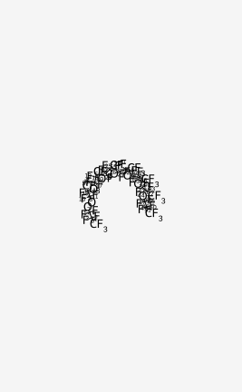 FC(F)(F)C(F)(F)C(F)(F)OOC(F)(F)C(F)(OC(F)(F)C(F)(OC(F)(F)C(F)(OC(F)(F)C(F)(OC(F)(F)C(F)(OC(F)(F)C(F)(OC(F)(F)C(F)(F)C(F)(F)F)C(F)(F)F)C(F)(F)F)C(F)(F)F)C(F)(F)F)C(F)(F)F)C(F)(F)F